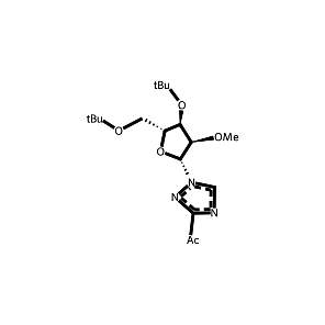 CO[C@@H]1[C@H](OC(C)(C)C)[C@@H](COC(C)(C)C)O[C@H]1n1cnc(C(C)=O)n1